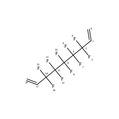 C=CC(F)(F)C(F)(F)C(F)(F)C(F)(F)C(F)(F)C=C